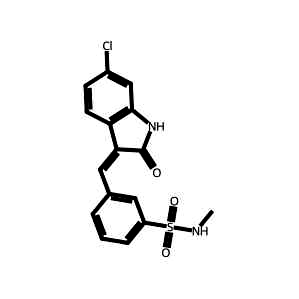 CNS(=O)(=O)c1cccc(C=C2C(=O)Nc3cc(Cl)ccc32)c1